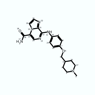 CN1CCC(COc2ccc(Nc3ncc(C(N)=O)n4ccnc34)cc2)CC1